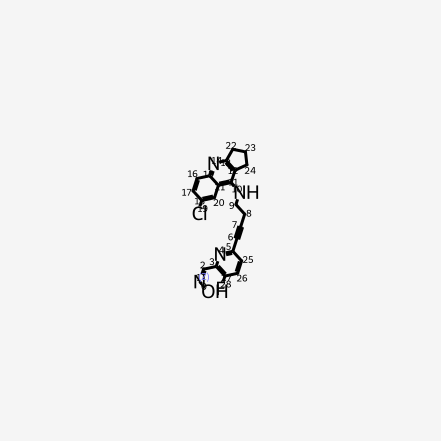 O/N=C\c1nc(C#CCCNc2c3c(nc4ccc(Cl)cc24)CCC3)ccc1F